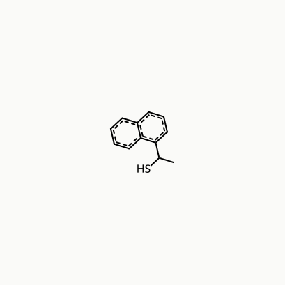 CC(S)c1cccc2ccccc12